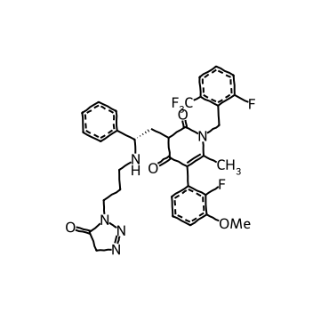 COc1cccc(C2=C(C)N(Cc3c(F)cccc3C(F)(F)F)C(=O)C(C[C@H](NCCCN3N=NCC3=O)c3ccccc3)C2=O)c1F